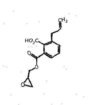 C=CCc1cccc(C(=O)OCC2CO2)c1C(=O)O